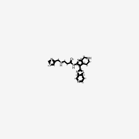 O=C(CCNCc1cscn1)Nc1sc2c(c1-c1nc3cnccc3s1)CCNC2